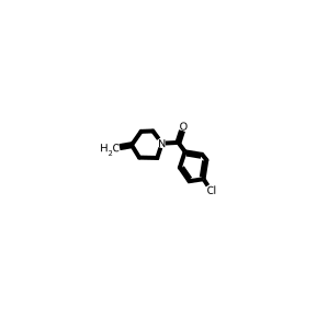 C=C1CCN(C(=O)c2ccc(Cl)cc2)CC1